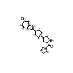 O=C([C@@H]1C[C@H](N2CCC(c3nc4cc(Cl)ccc4o3)CC2)CN1)N1CCSC1